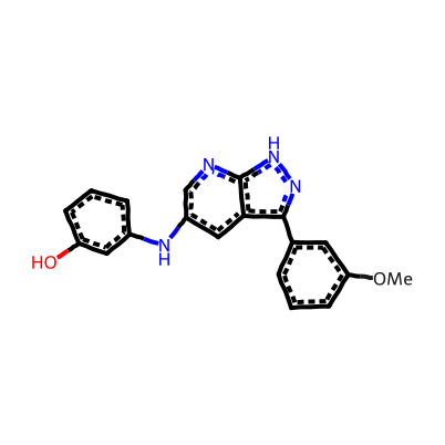 COc1cccc(-c2n[nH]c3ncc(Nc4cccc(O)c4)cc23)c1